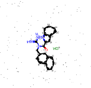 Cl.N=C(N)N(Cc1ccc2ccccc2c1)C(=O)c1cc2ccccc2[nH]1